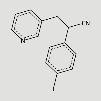 N#CC(Cc1cccnc1)c1ccc(I)cc1